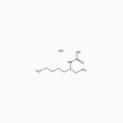 CCCCCC(CC)NC(=O)O.Cl